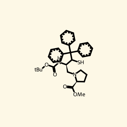 COC(=O)[C@@H]1CCCN1C[C@@H](NC(=O)OC(C)(C)C)C(S)C(c1ccccc1)(c1ccccc1)c1ccccc1